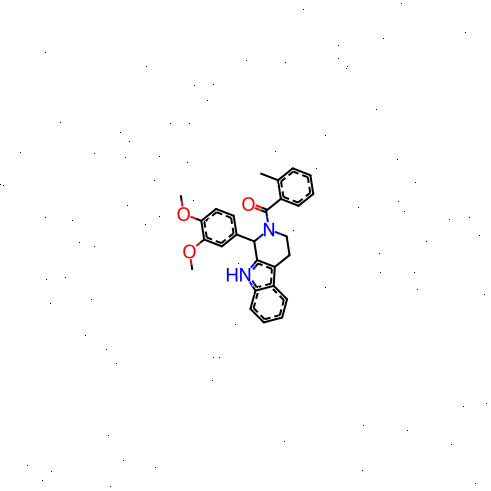 COc1ccc(C2c3[nH]c4ccccc4c3CCN2C(=O)c2ccccc2C)cc1OC